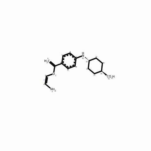 C=C(O/C=C\N)c1ccc(N[C@H]2CC[C@H](C(=O)O)CC2)cc1